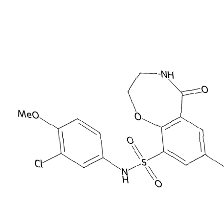 COc1ccc(NS(=O)(=O)c2cc(Br)cc3c2OCCNC3=O)cc1Cl